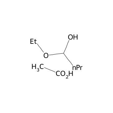 CC(=O)O.CCCC(O)OCC